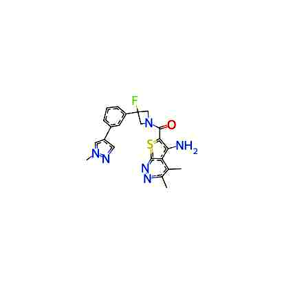 Cc1nnc2sc(C(=O)N3CC(F)(c4cccc(-c5cnn(C)c5)c4)C3)c(N)c2c1C